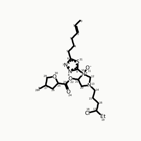 CC=CCCCc1nnc([N+]2([O-])CN(CCCC(Cl)CC)CC2OC(=O)C2CC(I)CO2)s1